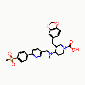 CN(Cc1ccc(-c2ccc(S(C)(=O)=O)cc2)nc1)C1CCN(C(=O)O)CC1Cc1ccc2c(c1)OCO2